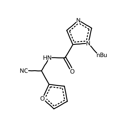 CCCCn1cncc1C(=O)NC(C#N)c1ccco1